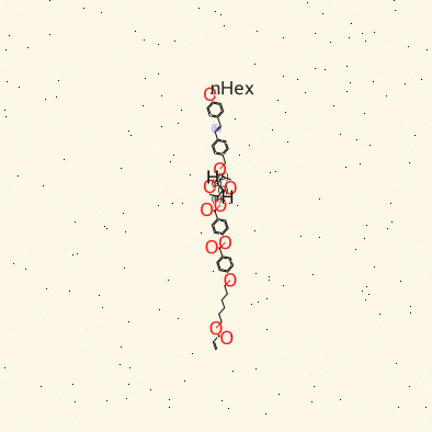 C=CC(=O)OCCCCCCOc1ccc(C(=O)Oc2ccc(C(=O)O[C@@H]3CO[C@@H]4[C@H]3OC[C@@H]4OCc3ccc(/C=C/c4ccc(OCCCCCC)cc4)cc3)cc2)cc1